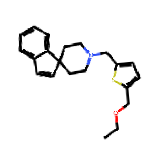 CCOCc1ccc(CN2CCC3(C=Cc4ccccc43)CC2)s1